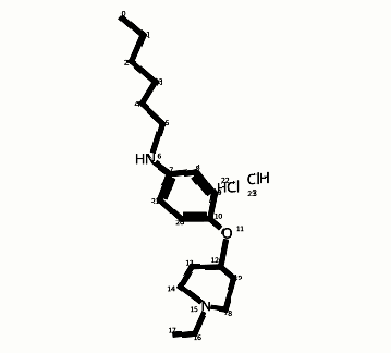 CCCCCCNc1ccc(OC2CCN(CC)CC2)cc1.Cl.Cl